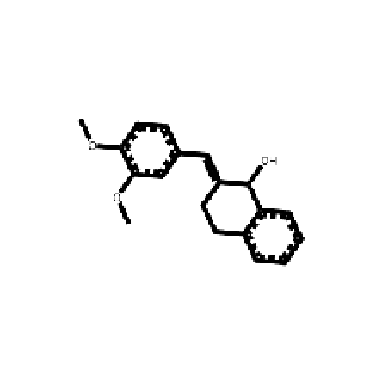 COc1ccc(/C=C2\CCc3ccccc3C2O)cc1OC